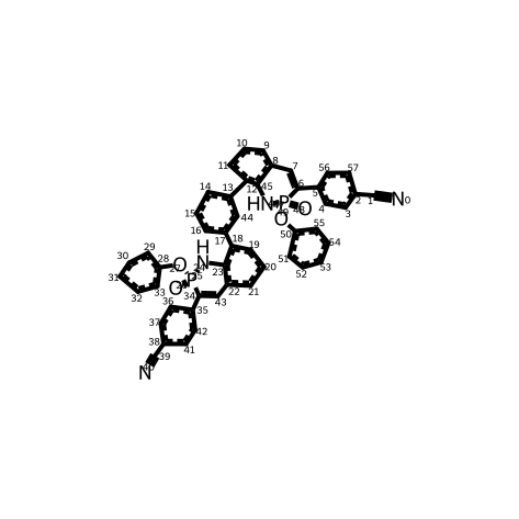 N#Cc1ccc(C2=Cc3cccc(-c4cccc(-c5cccc6c5NP(=O)(Oc5ccccc5)C(c5ccc(C#N)cc5)=C6)c4)c3NP2(=O)Oc2ccccc2)cc1